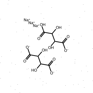 O=C([O-])C(O)C(O)C(=O)O.O=C([O-])C(O)C(O)C(=O)[O-].[Na+].[Na+].[Na+]